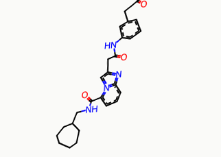 CNC(=O)Cc1cccc(NC(=O)Cc2cn3c(C(=O)NCC4CCCCCC4)cccc3n2)c1